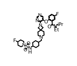 CCN(C(=O)c1cc(F)ccc1Oc1cncnc1N1CC2(CCN(CC3CCC(NS(=O)(=O)N4CCC(F)CC4)CC3)CC2)C1)C(C)C